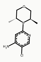 C[C@@H]1COC[C@@H](C)N1c1cc(N)c(Cl)cn1